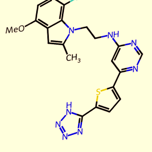 COc1ccc(F)c2c1cc(C)n2CCNc1cc(-c2ccc(-c3nnn[nH]3)s2)ncn1